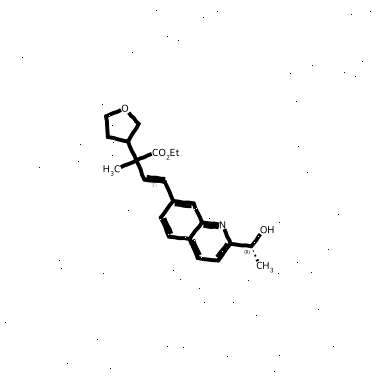 CCOC(=O)C(C)(/C=C/c1ccc2ccc([C@@H](C)O)nc2c1)C1CCOC1